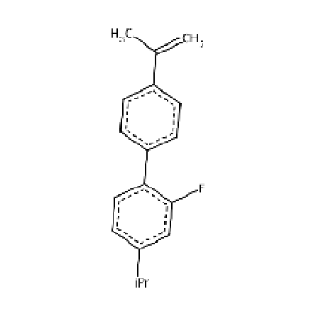 C=C(C)c1ccc(-c2ccc(C(C)C)cc2F)cc1